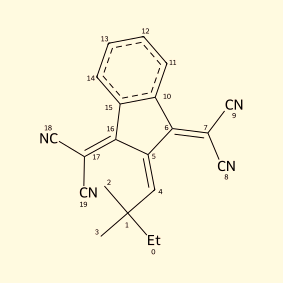 CCC(C)(C)C=C1C(=C(C#N)C#N)c2ccccc2C1=C(C#N)C#N